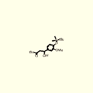 COc1cc(C(O)CC(=O)C(C)(C)C)ccc1O[Si](C)(C)C(C)(C)C